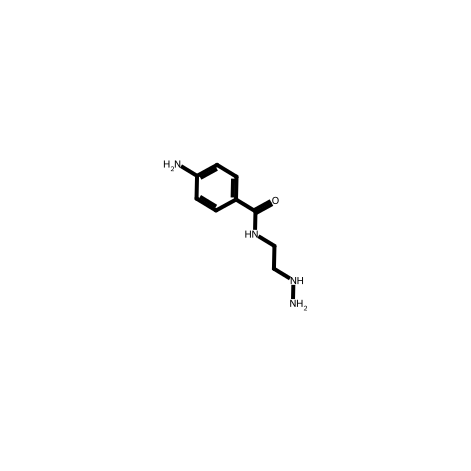 NNCCNC(=O)c1ccc(N)cc1